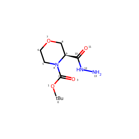 CC(C)(C)OC(=O)N1CCOC[C@H]1C(=O)NN